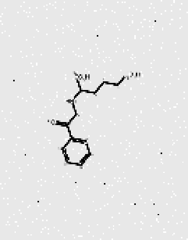 O=C(O)CCCC(NCC(=O)c1ccccc1)C(=O)O